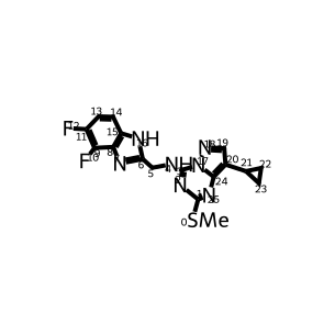 CSc1nc(NCc2nc3c(F)c(F)ccc3[nH]2)n2ncc(C3CC3)c2n1